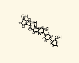 Oc1ccccc1-c1ccc(-c2nc3cc(O[C@@H]4COC5C4OC[C@H]5O)[nH]c3cc2Cl)cc1